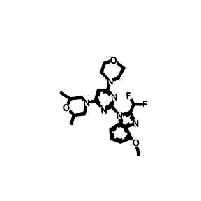 COc1cccc2c1nc(C(F)F)n2-c1nc(N2CCOCC2)cc(N2CC(C)OC(C)C2)n1